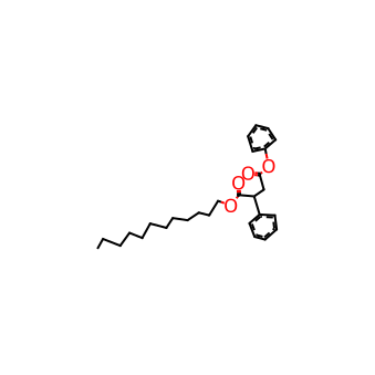 CCCCCCCCCCCCOC(=O)C(CC(=O)Oc1ccccc1)c1ccccc1